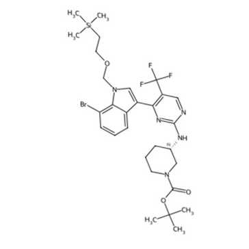 CC(C)(C)OC(=O)N1CCC[C@H](Nc2ncc(C(F)(F)F)c(-c3cn(COCC[Si](C)(C)C)c4c(Br)cccc34)n2)C1